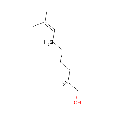 CC(C)=C[SiH2]CCC[SiH2]CO